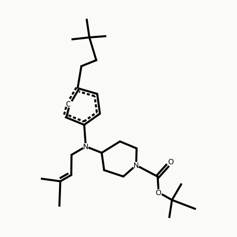 CC(C)=CCN(c1ccc(CCC(C)(C)C)cc1)C1CCN(C(=O)OC(C)(C)C)CC1